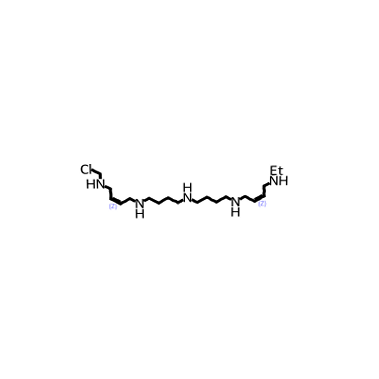 CCNC/C=C\CNCCCCNCCCCNC/C=C\CNCCl